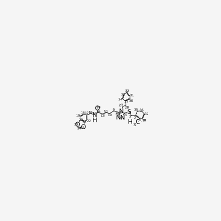 CC1=C(CSc2nnc(CCCCC(=O)NCc3ccc4c(c3)OCO4)n2CCc2ccccc2)CCC=C1